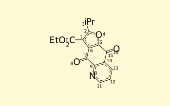 CCOC(=O)c1c(C(C)C)oc2c1C(=O)c1ncccc1C2=O